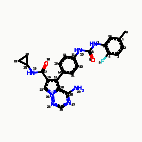 Cc1ccc(F)c(NC(=O)Nc2ccc(-c3c(C(=O)NC4CC4)cn4ncnc(N)c34)cc2)c1